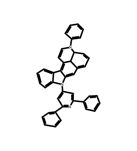 C1=CC2C3C(=C1)C=c1c(c4ccccc4n1-c1cc(-c4ccccc4)nc(-c4ccccc4)c1)=C3C=CN2c1ccccc1